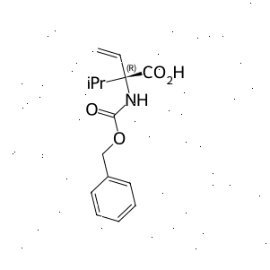 C=C[C@@](NC(=O)OCc1ccccc1)(C(=O)O)C(C)C